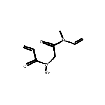 C=CC(=O)N(CC(=O)N(C)C=C)C(C)C